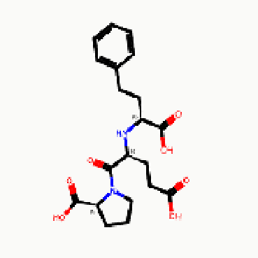 O=C(O)CC[C@H](N[C@@H](CCc1ccccc1)C(=O)O)C(=O)N1CCC[C@H]1C(=O)O